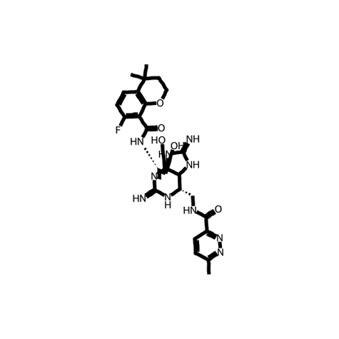 Cc1ccc(C(=O)NC[C@@H]2NC(=N)N3C[C@H](NC(=O)c4c(F)ccc5c4OCCC5(C)C)C(O)(O)C34NC(=N)NC24)nn1